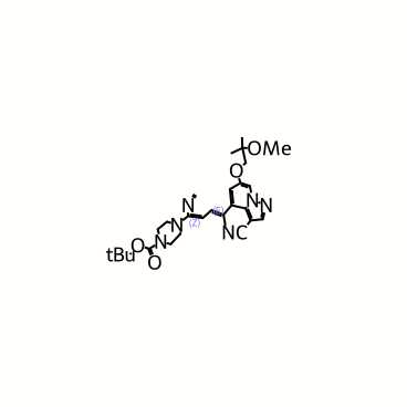 C=N/C(=C\C=C(/C)c1cc(OCC(C)(C)OC)cn2ncc(C#N)c12)N1CCN(C(=O)OC(C)(C)C)CC1